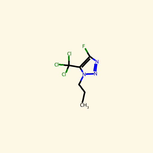 CCCn1nnc(F)c1C(Cl)(Cl)Cl